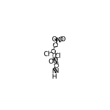 O=C(c1ccc(-c2cc(Cl)c(C[C@@H]3CCN([C@H]4CCc5n[nH]cc5C4)C3=O)c(Cl)c2)cc1)N1CCOCC1